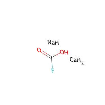 O=C(O)F.[CaH2].[NaH]